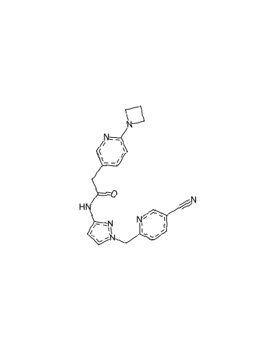 N#Cc1ccc(Cn2ccc(NC(=O)Cc3ccc(N4CCC4)nc3)n2)nc1